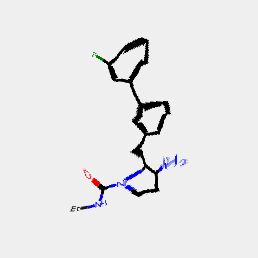 CCNC(=O)N1CCC(N)C1Cc1cccc(-c2cccc(F)c2)c1